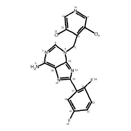 Nc1ncn(Cc2c(Cl)cncc2Cl)c2nc(-c3cc(F)ccc3F)nc1-2